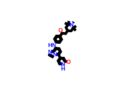 CN1C(C)(C)CC(CC(=O)c2ccc(Nc3ccc(-c4cc[nH]c(=O)c4)n4ccnc34)cc2)CC1(C)C